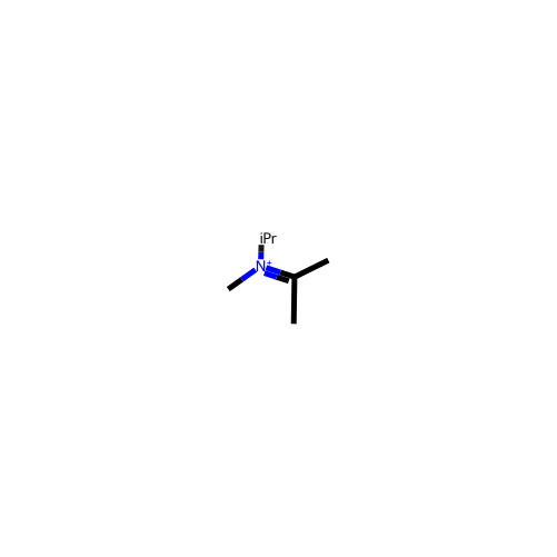 CC(C)=[N+](C)[C-](C)C